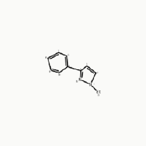 CCn1ccc(-c2ccccc2)n1